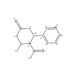 CC(=O)N1C(C)CC(=O)CC1c1cccnc1